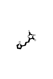 O=C1NC(=S)SC1=CC=Cc1ccc[nH]1